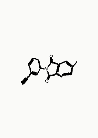 C#Cc1cccc(N2C(=O)c3ccc(C)cc3C2=O)c1